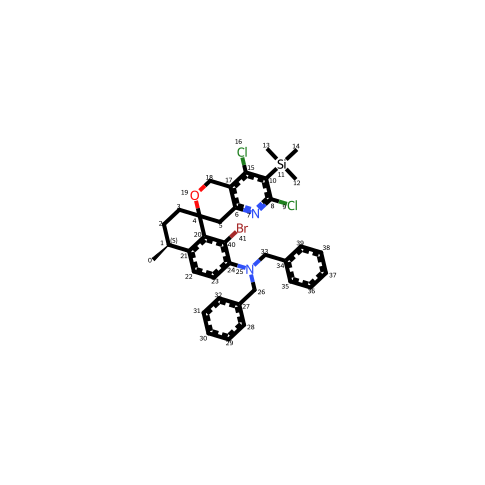 C[C@H]1CCC2(Cc3nc(Cl)c([Si](C)(C)C)c(Cl)c3CO2)c2c1ccc(N(Cc1ccccc1)Cc1ccccc1)c2Br